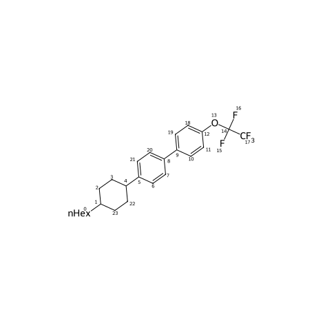 CCCCCCC1CCC(c2ccc(-c3ccc(OC(F)(F)C(F)(F)F)cc3)cc2)CC1